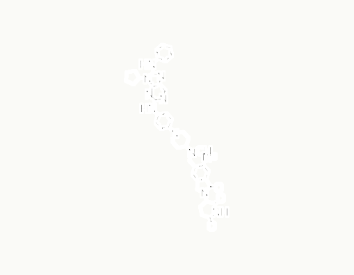 CN(Cc1cc2c(cc1Br)C(=O)N(C1CCC(=O)NC1=O)C2)C1CCN(c2ccc(Nc3ncc4nc(Nc5ccccc5)n(C5CCCC5)c4n3)cc2)CC1